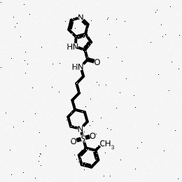 Cc1ccccc1S(=O)(=O)N1CCC(CCCCNC(=O)c2cc3cnccc3[nH]2)CC1